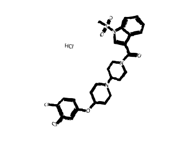 CS(=O)(=O)n1cc(C(=O)N2CCC(N3CCC(Oc4ccc(Cl)c(Cl)c4)CC3)CC2)c2ccccc21.Cl